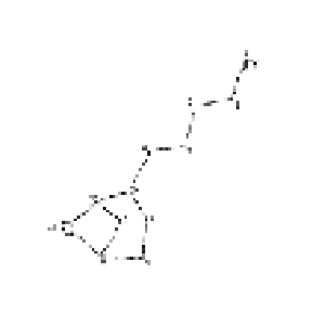 CC(C)CCCCC1CCC2CC1O2